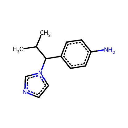 CC(C)C(c1ccc(N)cc1)n1ccnc1